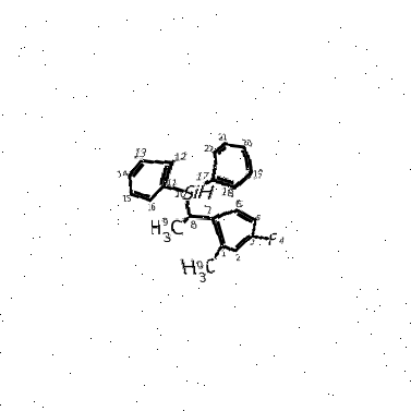 Cc1cc(F)ccc1[C@@H](C)[SiH](c1ccccc1)c1ccccc1